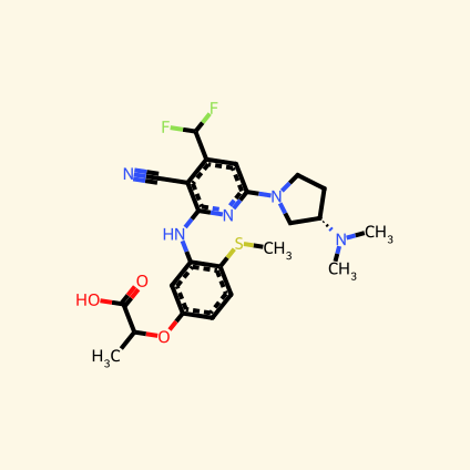 CSc1ccc(OC(C)C(=O)O)cc1Nc1nc(N2CC[C@H](N(C)C)C2)cc(C(F)F)c1C#N